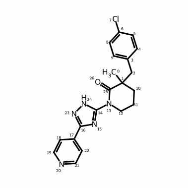 CC1(Cc2ccc(Cl)cc2)CCCN(c2nc(-c3ccncc3)n[nH]2)C1=O